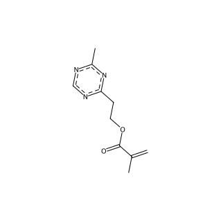 C=C(C)C(=O)OCCc1ncnc(C)n1